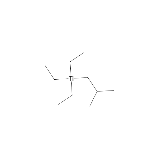 C[CH2][Ti]([CH2]C)([CH2]C)[CH2]C(C)C